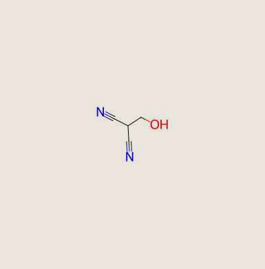 N#CC(C#N)CO